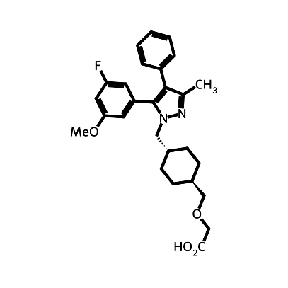 COc1cc(F)cc(-c2c(-c3ccccc3)c(C)nn2C[C@H]2CC[C@H](COCC(=O)O)CC2)c1